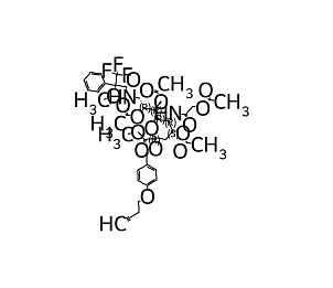 C#CCCOc1ccc(CO[C@]2(C(=O)OC)C[C@H](OC(C)=O)[C@@H](NC(=O)COC(C)=O)[C@H]([C@H](OC(C)=O)[C@@H](CNC(=O)C(OC)(c3ccccc3)C(F)(F)F)OC(C)=O)O2)cc1